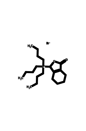 CCCC[P+](CCCC)(CCCC)C1OC(=O)C2=C1CCCC2.[Br-]